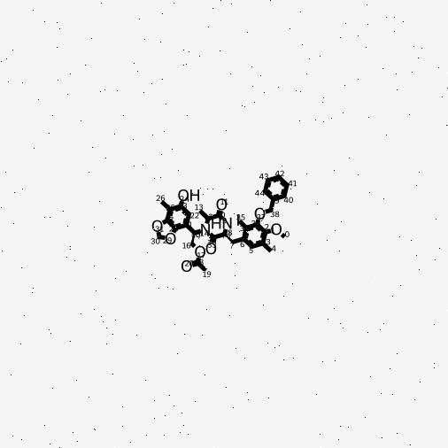 COc1c(C)cc(C[C@@H]2NC(=O)C(C)N([C@@H](COC(C)=O)c3cc(O)c(C)c4c3OCO4)C2=O)c(I)c1OCc1ccccc1